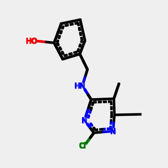 Cc1nc(Cl)nc(NCc2cccc(O)c2)c1C